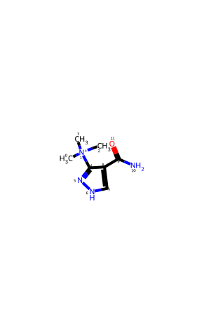 C[N+](C)(C)c1n[nH]cc1C(N)=O